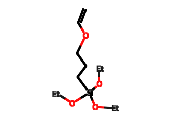 C=COCCC[Si](OCC)(OCC)OCC